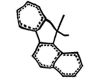 CC1(C)c2ccccc2-c2ccc3c[c]ccc3c21